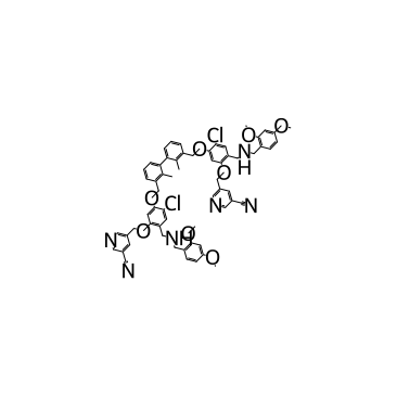 COc1ccc(CNCc2cc(Cl)c(OCc3cccc(-c4cccc(COc5cc(OCc6cncc(C#N)c6)c(CNCc6ccc(OC)cc6OC)cc5Cl)c4C)c3C)cc2OCc2cncc(C#N)c2)c(OC)c1